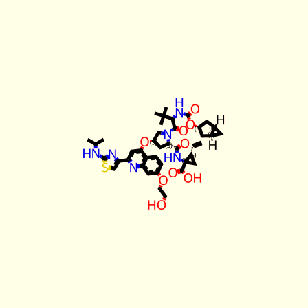 C=C[C@@H]1C[C@]1(NC(=O)[C@@H]1C[C@H](Oc2cc(-c3csc(NC(C)C)n3)nc3cc(OCCO)ccc23)CN1C(=O)C(NC(=O)O[C@@H]1C[C@@H]2C[C@@H]2C1)C(C)(C)C)C(=O)O